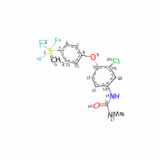 C=S(F)(F)(F)c1ccc(Oc2ccc(NC(=O)NC)cc2Cl)cc1